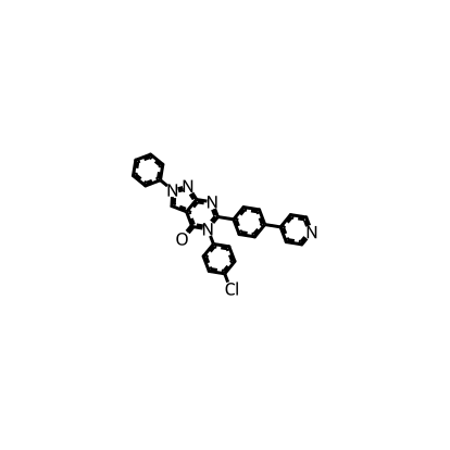 O=c1c2cn(-c3ccccc3)nc2nc(-c2ccc(-c3ccncc3)cc2)n1-c1ccc(Cl)cc1